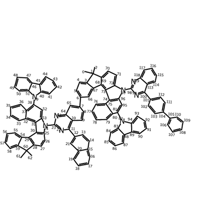 CC1(C)c2ccc(-c3ccc4c(-c5ccc6ccccc6c5)nc(-n5c6ccc7c(c6c6c8ccccc8c(-n8c9ccccc9c9ccccc98)cc65)-c5ccccc5C7(C)C)nc4c3)cc2-c2c1ccc1c2c2c3ccccc3c(-n3c4ccccc4c4ccccc43)cc2n1-c1nc(-c2ccc(-c3ccccc3)cc2)c2ccccc2n1